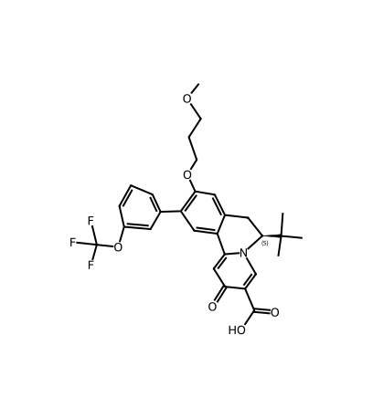 COCCCOc1cc2c(cc1-c1cccc(OC(F)(F)F)c1)-c1cc(=O)c(C(=O)O)cn1[C@H](C(C)(C)C)C2